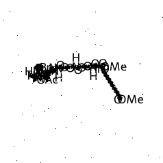 COC(=O)CCCCCCCCCCCCCCCCC(=O)N[C@@H](CCC(=O)NCCOCCOCC(=O)NCCOCCOCC(=O)NCc1ncc(-c2ccc3c(c2)c(C(C)=O)nn3CC(=O)N2C3C[C@]3(CN(C)C)C[C@H]2C(=O)Nc2nc(Br)ccc2C)cn1)C(=O)OC